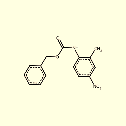 Cc1cc([N+](=O)[O-])ccc1NC(=O)OCc1ccccc1